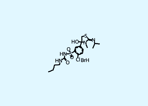 Br.CCCCNC(=O)NS(=O)(=O)c1cc(C2(O)CSC(=NC(C)C)N2C)ccc1Cl